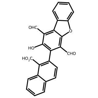 O=Cc1c(-c2ccc3ccccc3c2C(=O)O)c(O)c(C=O)c2c1oc1ccccc12